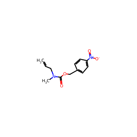 C=CCN(C)C(=O)OCc1ccc([N+](=O)[O-])cc1